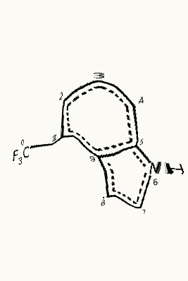 FC(F)(F)c1cccc2[nH]c[c]c12